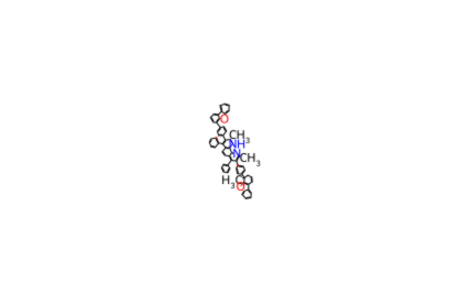 Cc1nc2c3c(ccc2c(-c2ccccc2)c1-c1ccc(C2(C)CC=Cc4c2oc2ccccc42)cc1)C(c1ccccc1)=C(c1ccc(-c2cccc4c2oc2ccccc24)cc1)C(C)N3